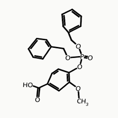 COc1cc(C(=O)O)ccc1OP(=O)(OCc1ccccc1)OCc1ccccc1